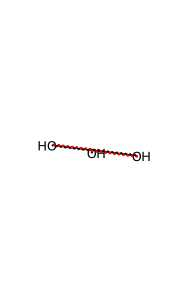 OCCCCCCCCCCCCCCCCCCCC(O)CCCCCCCCCCCCCCCCCO